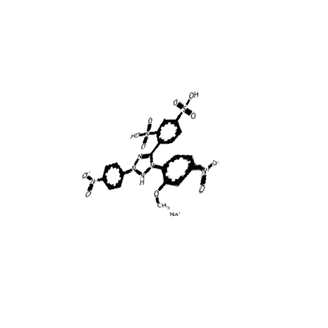 COc1cc([N+](=O)[O-])ccc1N1NN(c2ccc([N+](=O)[O-])cc2)N=C1c1ccc(S(=O)(=O)O)cc1S(=O)(=O)O.[Na+]